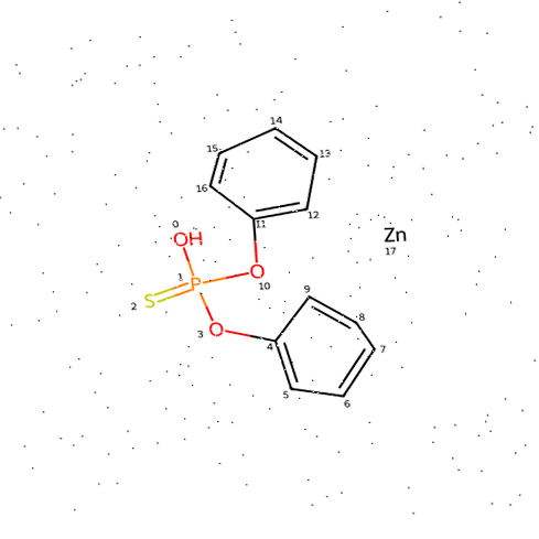 OP(=S)(Oc1ccccc1)Oc1ccccc1.[Zn]